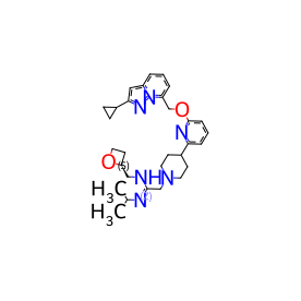 CC(C)/N=C(/CN1CCC(c2cccc(OCc3cccc4cc(C5CC5)nn34)n2)CC1)NC[C@@H]1CCO1